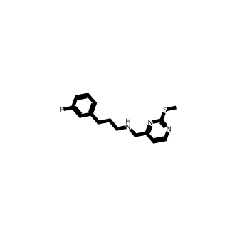 CSc1nccc(CNCCCc2cccc(F)c2)n1